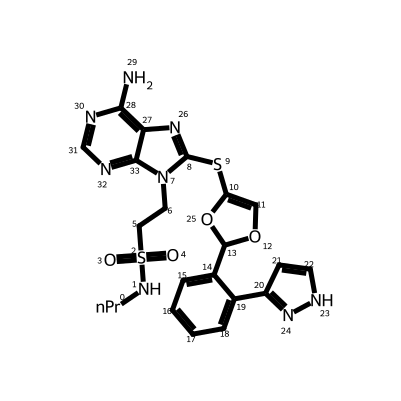 CCCNS(=O)(=O)CCn1c(SC2=COC(c3ccccc3-c3cc[nH]n3)O2)nc2c(N)ncnc21